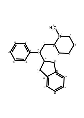 CN1CCCCC1CN(c1ccccc1)C1Cc2ccccc2C1